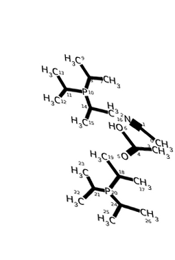 CC#N.CC(=O)O.CC(C)P(C(C)C)C(C)C.CC(C)P(C(C)C)C(C)C